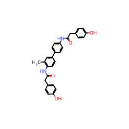 Cc1cc(-c2ccc(NC(=O)Cc3ccc(O)cc3)cc2)ccc1NC(=O)Cc1ccc(O)cc1